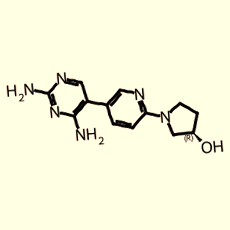 Nc1ncc(-c2ccc(N3CC[C@@H](O)C3)nc2)c(N)n1